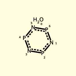 O.n1pnpnp1